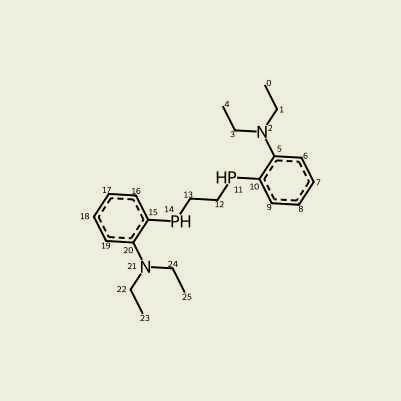 CCN(CC)c1ccccc1PCCPc1ccccc1N(CC)CC